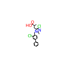 Cc1nc(Cl)c(CC(C)C(=O)O)n1Cc1ccc(-c2ccccc2)cc1Cl